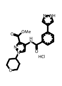 COC(=O)c1nn(C2CCOCC2)cc1NC(=O)c1cccc(-c2cn[nH]c2)c1.Cl